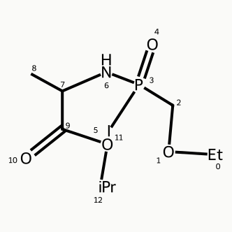 CCOCP(=O)(I)NC(C)C(=O)OC(C)C